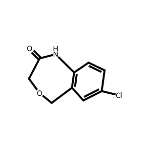 O=C1COCc2cc(Cl)ccc2N1